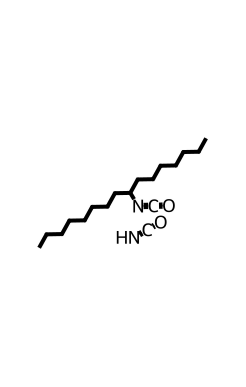 CCCCCCCCC(CCCCCCC)N=C=O.N=C=O